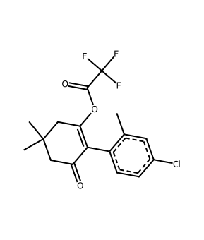 Cc1cc(Cl)ccc1C1=C(OC(=O)C(F)(F)F)CC(C)(C)CC1=O